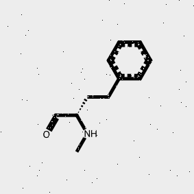 CN[C@H]([C]=O)CCc1ccccc1